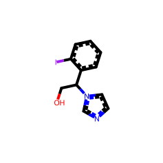 OCC(c1ccccc1I)n1ccnc1